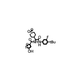 CC(C)(C)c1ccc(NC(=O)[C@H](NC(=O)c2cc(O)no2)C2CCS(=O)(=O)CC2)cc1F